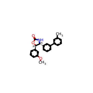 COc1cccc([C@H]2OC(=O)N[C@@H]2c2cccc(-c3cccc(C)c3)c2)c1